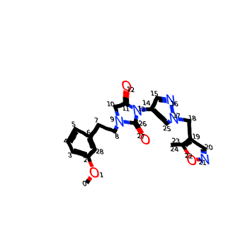 COc1cccc(CCN2CC(=O)N(c3cnn(Cc4cnoc4C)c3)C2=O)c1